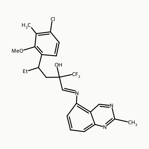 CCC(CC(O)(C=Nc1cccc2nc(C)ncc12)C(F)(F)F)c1ccc(Cl)c(C)c1OC